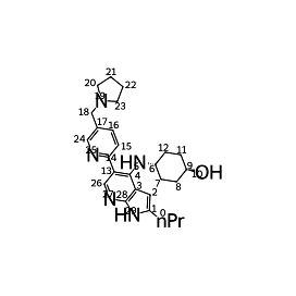 CCCc1cc2c(N[C@H]3CC[C@H](O)CC3)c(-c3ccc(CN4CCCC4)cn3)cnc2[nH]1